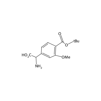 COc1cc(C(N)C(=O)O)ccc1C(=O)OC(C)(C)C